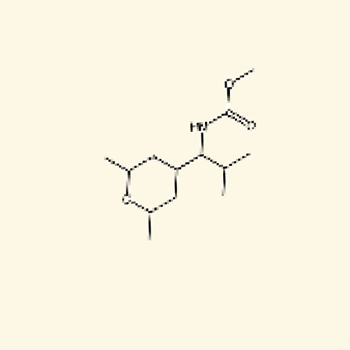 COC(=O)NC(C(C)C)C1CC(C)OC(C)C1